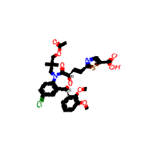 COc1cccc([C@H]2O[C@H](CCc3ncc(C(=O)O)s3)C(=O)N(CC(C)(C)COC(C)=O)c3ccc(Cl)cc32)c1OC